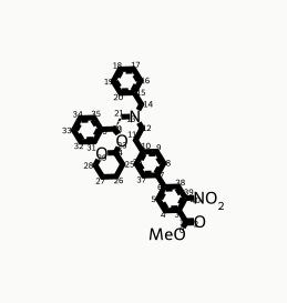 COC(=O)c1ccc(-c2ccc(CCN(Cc3ccccc3)C[C@H](OC3CCCCO3)c3ccccc3)cc2)cc1[N+](=O)[O-]